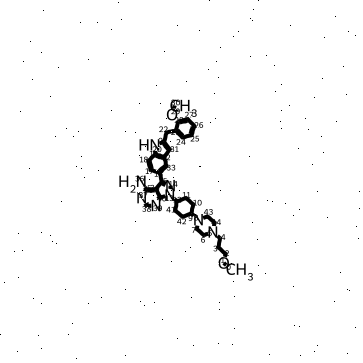 COCCCN1CCN(C2CCC(n3nc(-c4ccc5[nH]c(Cc6ccccc6OC)cc5c4)c4c(N)ncnc43)CC2)CC1